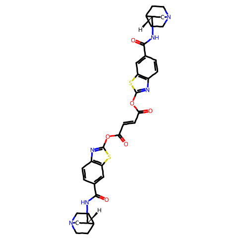 O=C(/C=C/C(=O)Oc1nc2ccc(C(=O)N[C@H]3CN4CCC3CC4)cc2s1)Oc1nc2ccc(C(=O)N[C@H]3CN4CCC3CC4)cc2s1